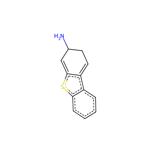 NC1C=c2sc3ccccc3c2=CC1